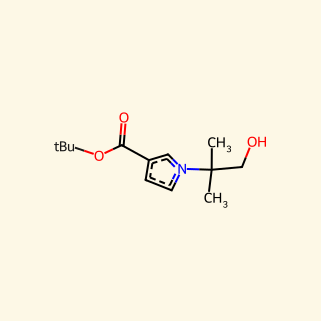 CC(C)(C)OC(=O)c1ccn(C(C)(C)CO)c1